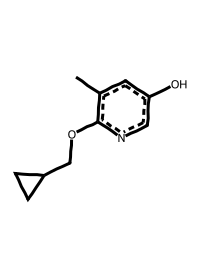 Cc1cc(O)cnc1OCC1CC1